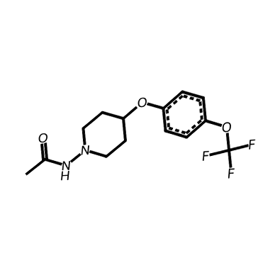 CC(=O)NN1CCC(Oc2ccc(OC(F)(F)F)cc2)CC1